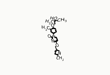 Cc1ccc(COc2ccn(-c3ccc(OCC(C)(C)O)c(C)c3)c(=O)n2)cn1